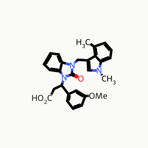 COc1cccc(C(CC(=O)O)n2c(=O)n(Cc3cn(C)c4cccc(C)c34)c3ccccc32)c1